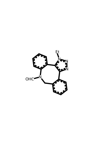 CCn1nnc2c1-c1ccccc1N(C=O)Cc1ccccc1-2